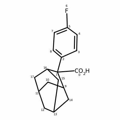 O=C(O)C1(c2ccc(F)cc2)C2CC3CC(C2)CC1C3